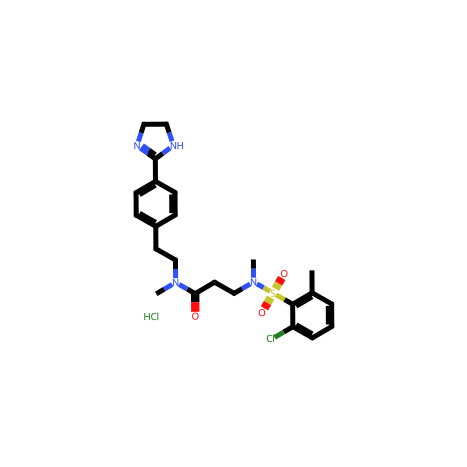 Cc1cccc(Cl)c1S(=O)(=O)N(C)CCC(=O)N(C)CCc1ccc(C2=NCCN2)cc1.Cl